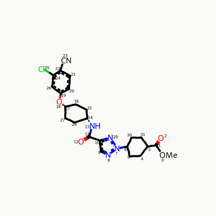 COC(=O)C1CCC(n2ncc(C(=O)N[C@H]3CC[C@H](Oc4ccc(C#N)c(Cl)c4)CC3)n2)CC1